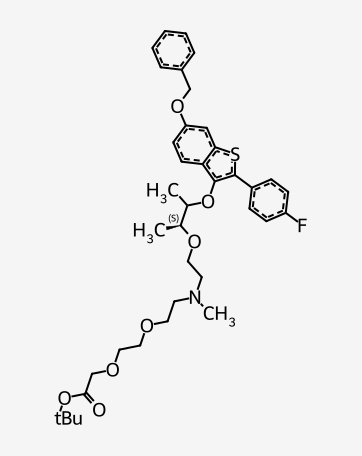 CC(Oc1c(-c2ccc(F)cc2)sc2cc(OCc3ccccc3)ccc12)[C@H](C)OCCN(C)CCOCCOCC(=O)OC(C)(C)C